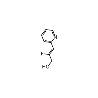 OCC(F)=Cc1ccccn1